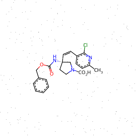 Cc1ccc(/C=C\[C@]2(NC(=O)OCc3ccccc3)CCN(C(=O)O)C2)c(Cl)n1